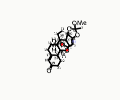 COC(=O)/C=C1/OC(C)(OC)O[C@@]12CC[C@H]1[C@@H]3CCC4=CC(=O)CC[C@@H]4[C@H]3CC[C@@]12C